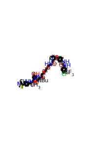 Cc1ncsc1-c1ccc([C@H](C)NC(=O)[C@H]2C[C@@H](O)CN2C(=O)[C@@H](NC(=O)CCOCCOCCNC(=O)c2cc(Oc3ccc(NC(=O)Nc4ccc(Cl)c(C(F)(F)F)c4)cc3)ccn2)C(C)(C)C)cc1